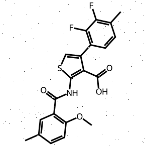 COc1ccc(C)cc1C(=O)Nc1scc(-c2ccc(C)c(F)c2F)c1C(=O)O